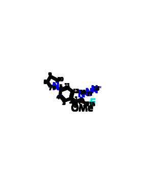 CO[C@H](c1ccc(N2CCCC2)cc1)[C@@H](CF)N=[N+]=[N-]